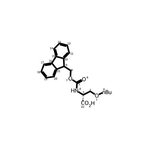 CCCCOC[C@@H](NC(=O)OCC1c2ccccc2-c2ccccc21)C(=O)O